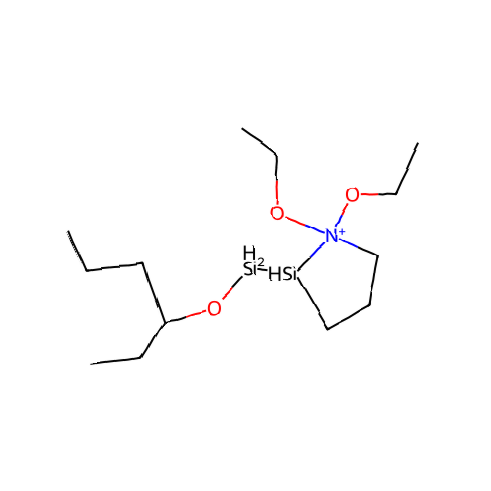 CCCC(CC)O[SiH2][SiH]1CCC[N+]1(OCC)OCC